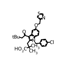 CC(C)(C)CC(=O)c1c(CC(C)(C)C(=O)O)n(Cc2ccc(Cl)cc2)c2ccc(OCc3cscn3)cc12